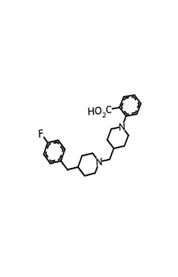 O=C(O)c1ccccc1N1CCC(CN2CCC(Cc3ccc(F)cc3)CC2)CC1